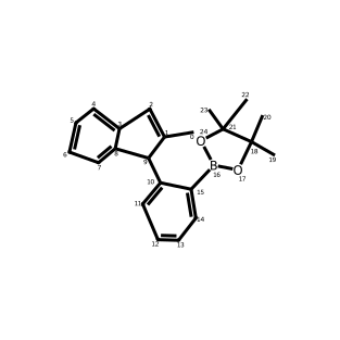 CC1=Cc2ccccc2C1c1ccccc1B1OC(C)(C)C(C)(C)O1